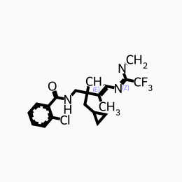 C=N/C(=N\C=C(/C)C(C)(CNC(=O)c1ccccc1Cl)CC1CC1)C(F)(F)F